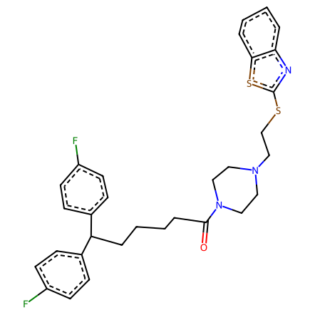 O=C(CCCCC(c1ccc(F)cc1)c1ccc(F)cc1)N1CCN(CCSc2nc3ccccc3s2)CC1